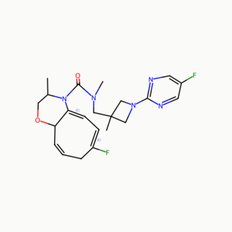 CC1COC2C=CC/C(F)=C\C=C/2N1C(=O)N(C)CC1(C)CN(c2ncc(F)cn2)C1